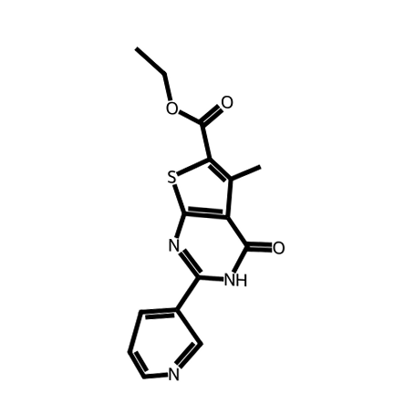 CCOC(=O)c1sc2nc(-c3cccnc3)[nH]c(=O)c2c1C